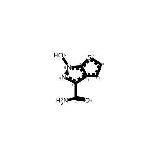 NC(=O)c1nn(O)c2sccc12